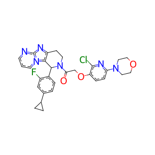 O=C(COc1ccc(N2CCOCC2)nc1Cl)N1CCc2nc3ncccn3c2C1c1ccc(C2CC2)cc1F